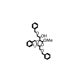 COC(OC(N)COCc1ccccc1)C(OCc1ccccc1)[C@H](O)COCc1ccccc1